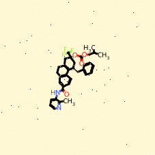 Cc1ncccc1NC(=O)c1ccc2c(c1)CCC1=C2[C@H](Cc2ccccc2)C[C@](OC(=O)OCC(C)C)(C(F)(F)F)C1